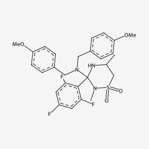 COc1ccc(CN(Cc2ccc(OC)cc2)C2(c3c(F)cc(F)cc3F)NC(C)CS(=O)(=O)N2C)cc1